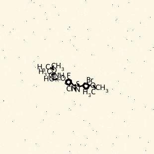 CC(C)Oc1ccc(-c2nnc(-c3cc(F)c(OC[C@H](CO)NC(=O)OC(C)(C)C)cc3Cl)s2)cc1Br